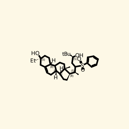 CC[C@]1(O)CC[C@H]2C(=CC[C@@H]3C2CC[C@]2(C)[C@@H]([C@H](C)C(C[C@H](O)C(C)(C)C)S(=O)(=O)c4ccccc4)CC[C@@H]32)C1